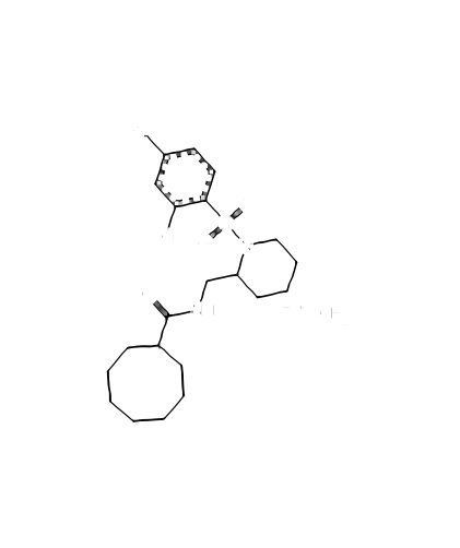 O=C(NCC1CCCCN1S(=O)(=O)c1ccc(Cl)cc1Cl)[C]1CCCCCCC1.[CH2].[CH2]